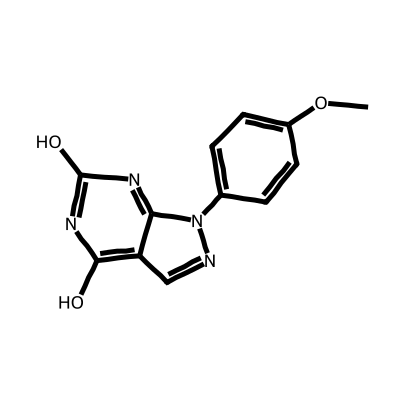 COc1ccc(-n2ncc3c(O)nc(O)nc32)cc1